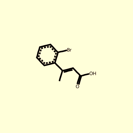 CC(=CC(=O)O)c1ccccc1Br